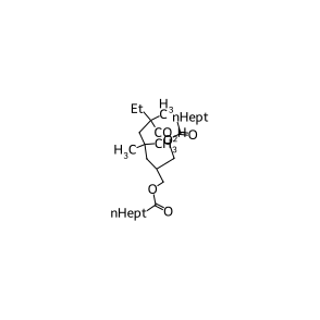 CCCCCCCC(=O)OCC(COC(=O)CCCCCCC)CC(C)(C)CC(C)(CC)C(=O)O